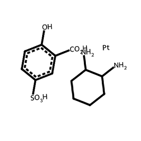 NC1CCCCC1N.O=C(O)c1cc(S(=O)(=O)O)ccc1O.[Pt]